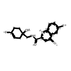 O=C(NCC1(O)CC=C(F)CC1)c1cc(=O)c2cc(F)ccc2o1